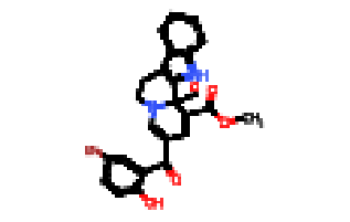 COC(=O)C1=CC(C(=O)c2cc(Br)ccc2O)=CN2CCc3c([nH]c4ccccc34)C12C=O